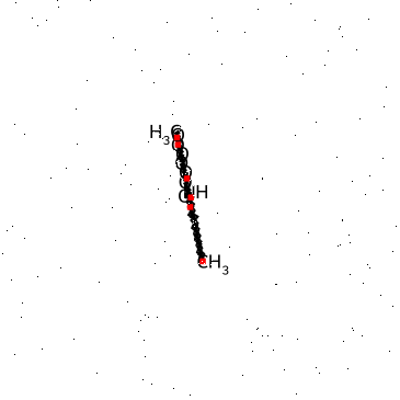 CCC=CCC=CCC=CCC=CCC=CCC=CCCC(=O)NCCOCCOCCOCCOCCOCCOC